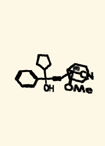 CO[C@]1(C#CC(O)(c2ccccc2)C2CCCC2)CN2CCC1CC2